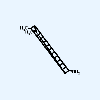 CC1CC2C(N)C3C2C2C3C3C2C2C3C3C2C2C4C5C6C7C8C(C)C1C8C7C6C5C4C32